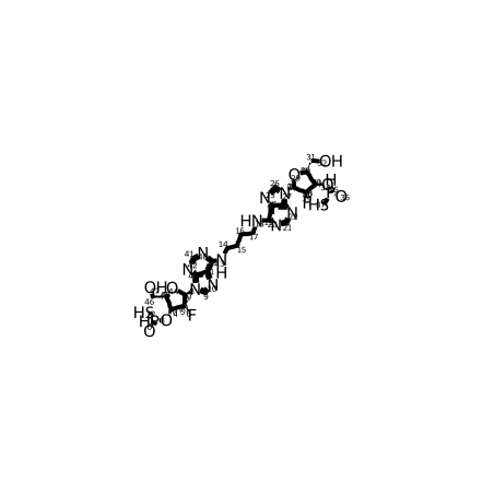 O=[PH](S)O[C@H]1[C@@H](F)[C@H](n2cnc3c(NCCCCNc4ncnc5c4ncn5[C@@H]4O[C@H](CO)[C@@H](O[PH](=O)S)[C@H]4F)ncnc32)O[C@@H]1CO